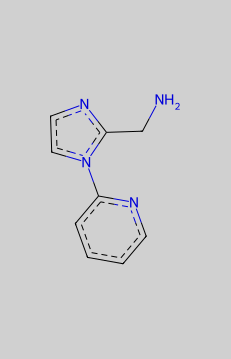 NCc1nccn1-c1ccccn1